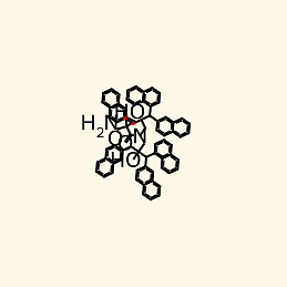 NC(=O)C1(C(=O)N(CC(O)(Cc2ccc3ccccc3c2)C(c2ccc3ccccc3c2)c2cccc3ccccc23)CC(O)(Cc2ccc3ccccc3c2)C(c2ccc3ccccc3c2)c2cccc3ccccc23)CC1